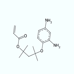 C=CC(=O)OC(C)(C)CC(C)(C)Oc1ccc(N)cc1N